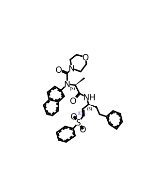 C[C@@H](C(=O)N[C@H](/C=C/S(=O)(=O)c1ccccc1)CCc1ccccc1)N(C(=O)N1CCOCC1)c1ccc2ccccc2c1